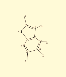 Cc1nc2sc(C)c(C)c2c(C)c1C